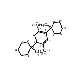 CC1(C2=C(O)CC(C3(C)CCCCC3)C(O)=C2)CCCCC1